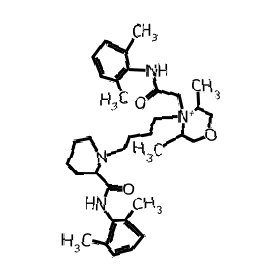 Cc1cccc(C)c1NC(=O)C[N+]1(CCCCN2CCCCC2C(=O)Nc2c(C)cccc2C)C(C)COCC1C